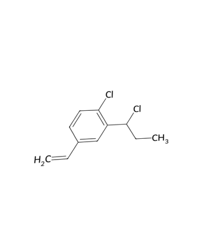 C=Cc1ccc(Cl)c(C(Cl)CC)c1